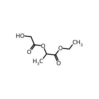 CCOC(=O)C(C)OC(=O)CO